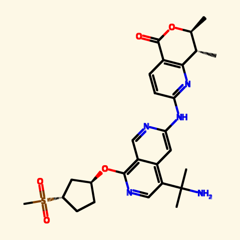 C[C@@H]1OC(=O)c2ccc(Nc3cc4c(C(C)(C)N)cnc(O[C@H]5CC[C@H](S(C)(=O)=O)C5)c4cn3)nc2[C@H]1C